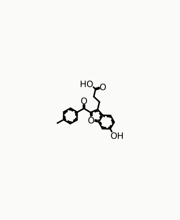 Cc1ccc(C(=O)c2oc3cc(O)ccc3c2CCC(=O)O)cc1